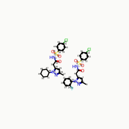 Cc1cc(CC(=O)NS(=O)(=O)c2ccc(Cl)cc2)n(-c2ccccc2F)n1.Cc1cc(CC(=O)NS(=O)(=O)c2ccc(Cl)cc2)n(C2CCCCC2)n1